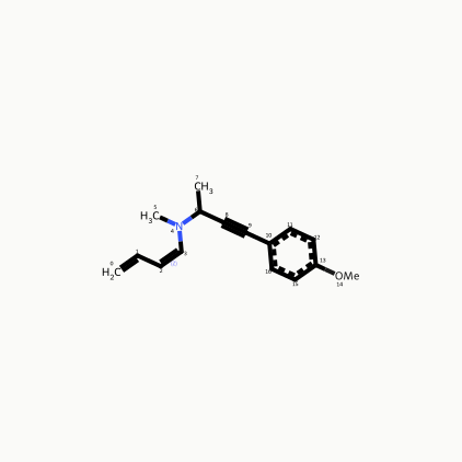 C=C/C=C\N(C)C(C)C#Cc1ccc(OC)cc1